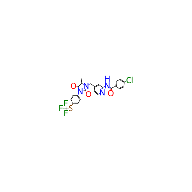 CC1C(=O)N(c2ccc(SC(F)(F)F)cc2)C(=O)N1Cc1ccnc(NC(=O)c2ccc(Cl)cc2)c1